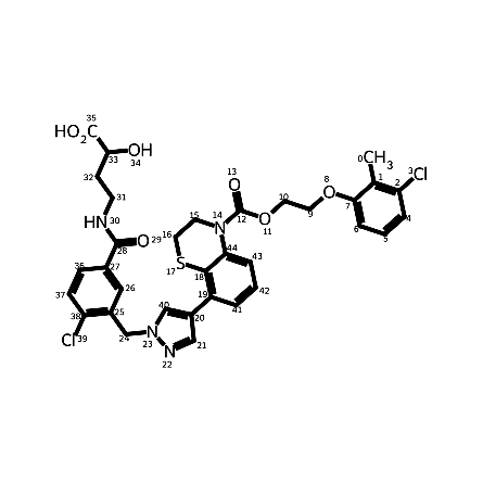 Cc1c(Cl)cccc1OCCOC(=O)N1CCSc2c(-c3cnn(Cc4cc(C(=O)NCCC(O)C(=O)O)ccc4Cl)c3)cccc21